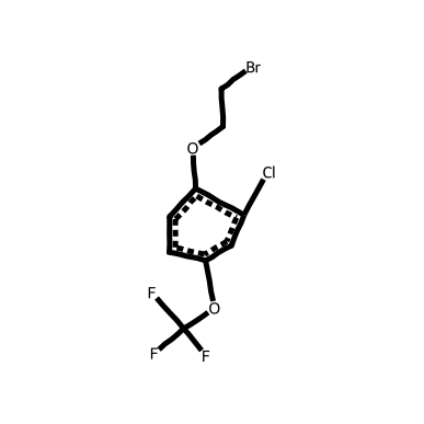 FC(F)(F)Oc1ccc(OCCBr)c(Cl)c1